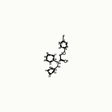 Cc1ccc(OCC(=O)N(Cc2cccs2)c2ccccc2)cn1